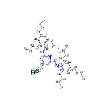 CCCCc1cc(CCCC)c(N=Cc2cc(C)cc(C=Nc3c(CCCC)cc(CCCC)cc3CCCC)n2)c(CCCC)c1.[Cl-].[Cl-].[Fe+2]